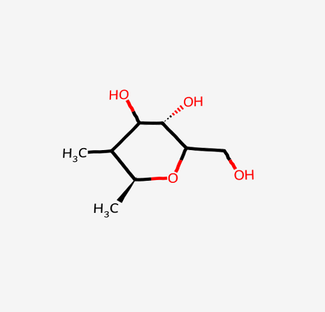 CC1C(O)[C@H](O)C(CO)O[C@H]1C